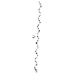 C=CCCCCCCCCCCCCCCCC.[Zn]